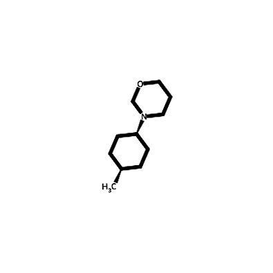 C[C@H]1CC[C@@H](N2CCCOC2)CC1